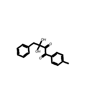 Cc1ccc(C(=O)C(=O)C(O)(O)Cc2ccccc2)cc1